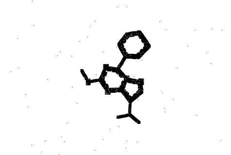 CSc1nc(-c2ccccc2)n2ncc(C(C)C)c2n1